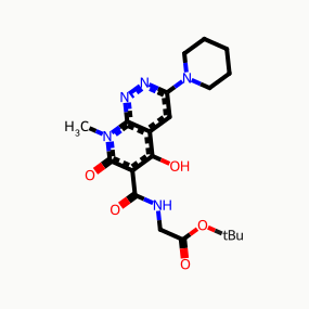 Cn1c(=O)c(C(=O)NCC(=O)OC(C)(C)C)c(O)c2cc(N3CCCCC3)nnc21